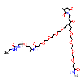 CCNC(=O)CCOCCOCCOCCOCCC(CCOCCOCCOCCOCCC(=O)NC(C)CCOC(C)(C)CNC(=O)NCC(C)(C)C)C(=O)CCN1C(=O)CC(C)C1=O